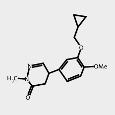 COc1ccc(C2C=NN(C)C(=O)C2)cc1OCC1CC1